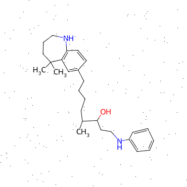 CC(CCCCc1ccc2c(c1)C(C)(C)CCCN2)C(O)CCNc1ccccc1